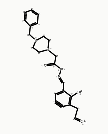 C=CCc1c#ccc(/C=N/NC(=O)CN2CCN(Cc3ccccc3)CC2)c1O